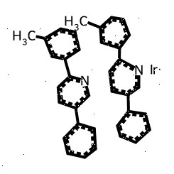 Cc1cccc(-c2ccc(-c3ccccc3)cn2)c1.Cc1cccc(-c2ccc(-c3ccccc3)cn2)c1.[Ir]